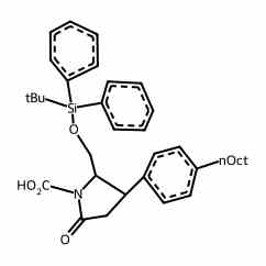 CCCCCCCCc1ccc(C2CC(=O)N(C(=O)O)C2CO[Si](c2ccccc2)(c2ccccc2)C(C)(C)C)cc1